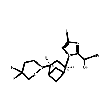 CC(C)C(O)c1nc(I)cn1[C@@H]1C[C@H](N2CCC(F)(F)CC2)C2CC1C2